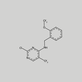 FC(F)(F)Oc1ccccc1CNc1nc(Cl)ncc1C(F)(F)F